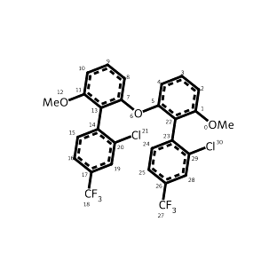 COc1cccc(Oc2cccc(OC)c2-c2ccc(C(F)(F)F)cc2Cl)c1-c1ccc(C(F)(F)F)cc1Cl